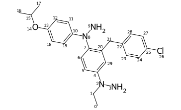 CCN(N)c1ccc(N(N)c2ccc(OC(C)C)cc2)c(Cc2ccc(Cl)cc2)c1